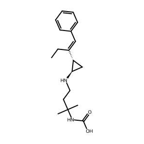 CC/C(=C\c1ccccc1)[C@@H]1C[C@H]1NCCC(C)(C)NC(=O)O